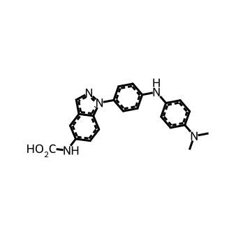 CN(C)c1ccc(Nc2ccc(-n3ncc4cc(NC(=O)O)ccc43)cc2)cc1